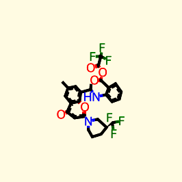 Cc1cc(C(C)Nc2ccccc2C(=O)OC(=O)C(F)(F)F)c2oc(N3CCC[C@H](C(F)(F)F)C3)cc(=O)c2c1